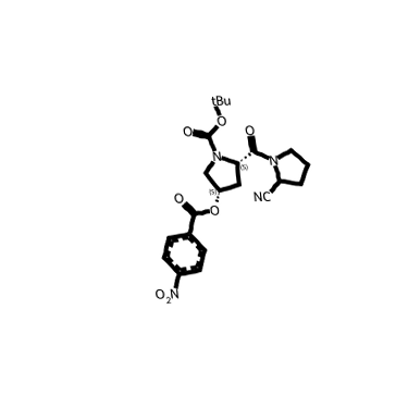 CC(C)(C)OC(=O)N1C[C@@H](OC(=O)c2ccc([N+](=O)[O-])cc2)C[C@H]1C(=O)N1CCCC1C#N